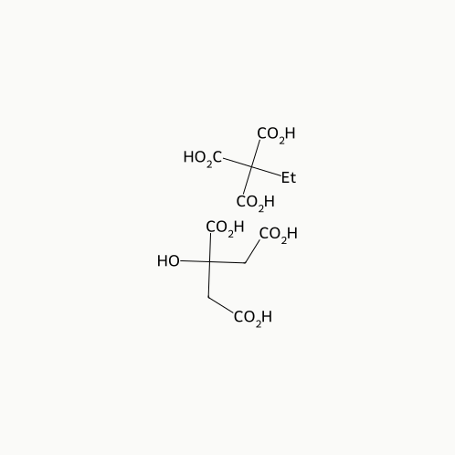 CCC(C(=O)O)(C(=O)O)C(=O)O.O=C(O)CC(O)(CC(=O)O)C(=O)O